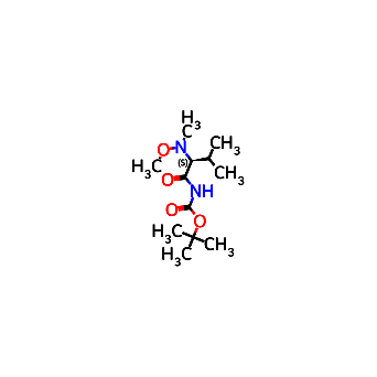 CON(C)[C@H](C(=O)NC(=O)OC(C)(C)C)C(C)C